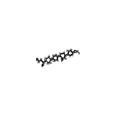 Cc1ccc(-c2ccc(-c3ccc(C4CCC(/C(F)=C/CF)CC4)cc3)c(F)c2)cc1